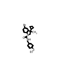 CCSc1ccc(CNC(=O)N2CC(C)(C3CCC3)c3cc(Br)ccc32)cc1